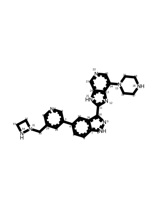 c1ncc(-c2ccc3[nH]nc(-c4nc5c(N6CCNCC6)cncc5[nH]4)c3c2)cc1CN1CCN1